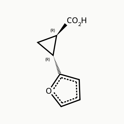 O=C(O)[C@@H]1C[C@H]1c1ccco1